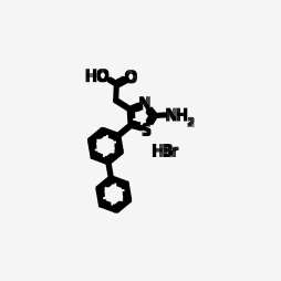 Br.Nc1nc(CC(=O)O)c(-c2cccc(-c3ccccc3)c2)s1